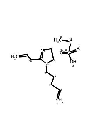 C=CCCCN1CCN=C1CC=C.COS(=O)(=O)O